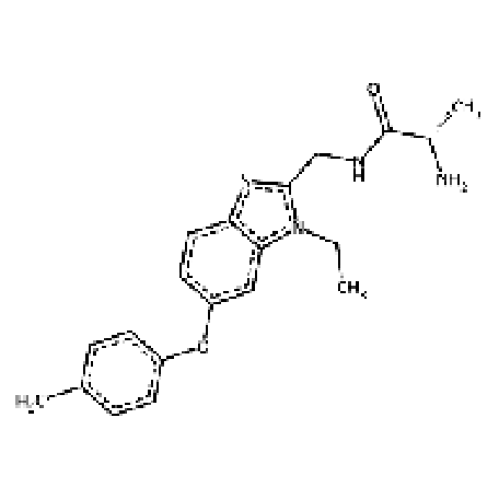 CCn1c(CNC(=O)[C@H](C)N)nc2ccc(Oc3ccc(C)cc3)cc21